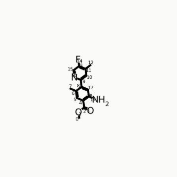 COC(=O)c1cc(C)c(-c2cc(C)c(F)cn2)cc1N